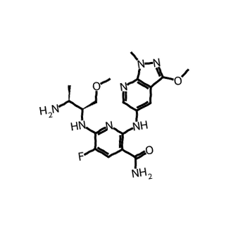 COC[C@@H](Nc1nc(Nc2cnc3c(c2)c(OC)nn3C)c(C(N)=O)cc1F)[C@H](C)N